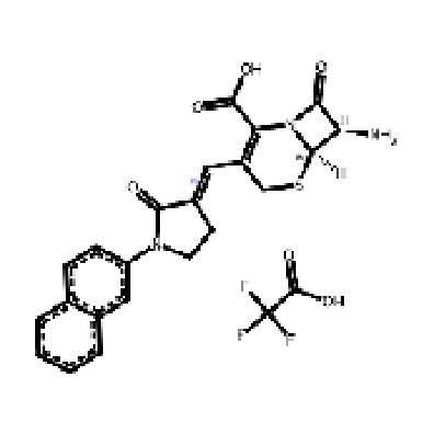 N[C@@H]1C(=O)N2C(C(=O)O)=C(/C=C3\CCN(c4ccc5ccccc5c4)C3=O)CS[C@H]12.O=C(O)C(F)(F)F